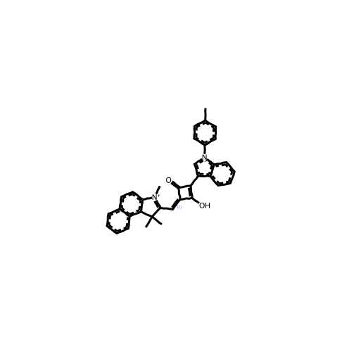 Cc1ccc(-n2cc(C3=C(O)/C(=C/C4=[N+](C)c5ccc6ccccc6c5C4(C)C)C3=O)c3ccccc32)cc1